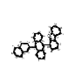 C1=C(c2c3ccccc3c(-c3cccc4c3oc3ccccc34)c3ccccc23)CCc2ccccc21